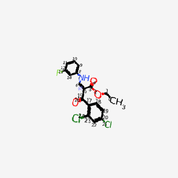 CCOC(=O)/C(=C\Nc1cccc(F)c1)C(=O)c1ccc(Cl)cc1Cl